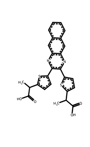 CC(C(=O)O)c1ccc(-c2nc3cc4ccccc4cc3nc2-c2ccc(C(C)C(=O)O)s2)s1